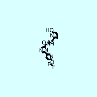 O=C(N/N=C/c1cccc(O)n1)c1cncc(-c2ccc(OC(F)F)nc2)n1